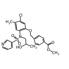 COC(=O)c1ccc(COc2cc(Cl)c(C)cc2N(CC(C)O)S(=O)(=O)c2cccnc2)cc1